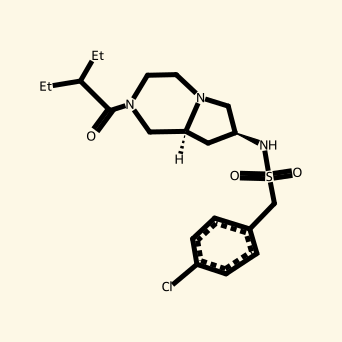 CCC(CC)C(=O)N1CCN2C[C@@H](NS(=O)(=O)Cc3ccc(Cl)cc3)C[C@H]2C1